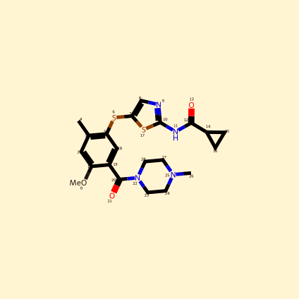 COc1cc(C)c(Sc2cnc(NC(=O)C3CC3)s2)cc1C(=O)N1CCN(C)CC1